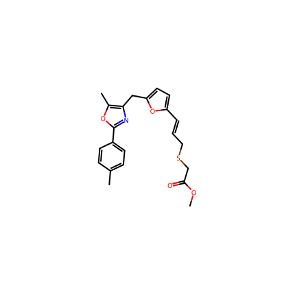 COC(=O)CSCC=Cc1ccc(Cc2nc(-c3ccc(C)cc3)oc2C)o1